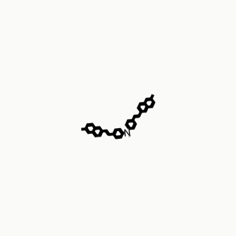 Cc1ccc2cc(/C=C/c3ccc(N(C)c4ccc(/C=C/c5ccc6cc(C)ccc6c5)cc4)cc3)ccc2c1